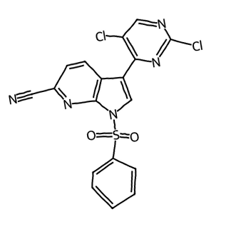 N#Cc1ccc2c(-c3nc(Cl)ncc3Cl)cn(S(=O)(=O)c3ccccc3)c2n1